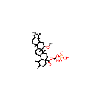 CCOC1CC2C(C)(C)C(OC)CCC2(C)C2CCC3C4C(C)C(C)CCC4(C(=O)OCOP(=O)(O)O)CCC3(C)C12C